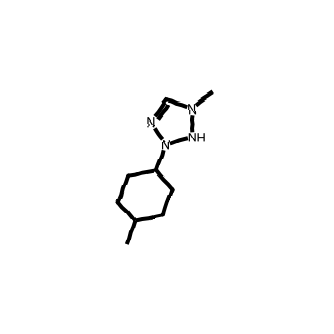 CC1CCC(N2N=CN(C)N2)CC1